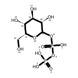 O=P(O)(O)OP(=O)(O)OC1O[C@H](CO)[C@H](O)[C@@H](O)[C@@H]1O